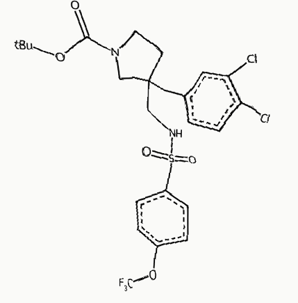 CC(C)(C)OC(=O)N1CCC(CNS(=O)(=O)c2ccc(OC(F)(F)F)cc2)(c2ccc(Cl)c(Cl)c2)C1